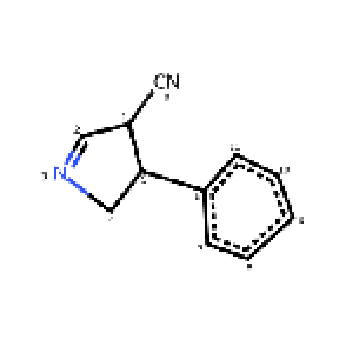 N#CC1C=NCC1c1ccccc1